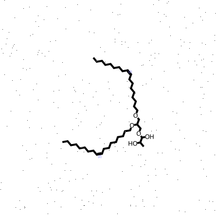 CCCCCCCC/C=C\CCCCCCCCOCC(COC(O)C(C)O)OCCCCCCCC/C=C\CCCCCCCC